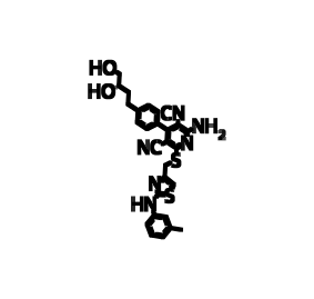 Cc1cccc(Nc2nc(CSc3nc(N)c(C#N)c(-c4ccc(CC[C@H](O)CO)cc4)c3C#N)cs2)c1